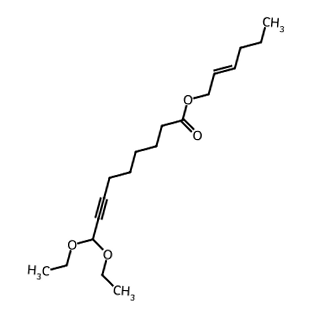 CCCC=CCOC(=O)CCCCCC#CC(OCC)OCC